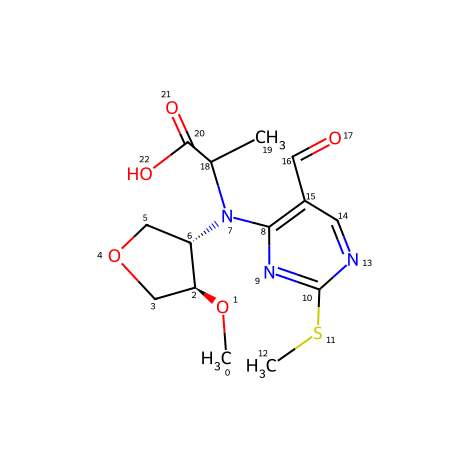 CO[C@H]1COC[C@@H]1N(c1nc(SC)ncc1C=O)C(C)C(=O)O